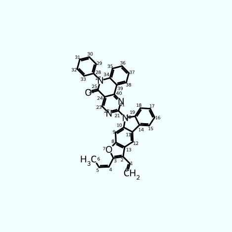 C=Cc1c(/C=C\C)oc2cc3c(cc12)c1ccccc1n3-c1ncc2c(=O)n(-c3ccccc3)c3ccccc3c2n1